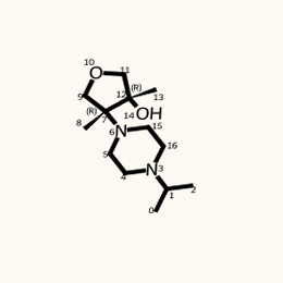 CC(C)N1CCN([C@]2(C)COC[C@]2(C)O)CC1